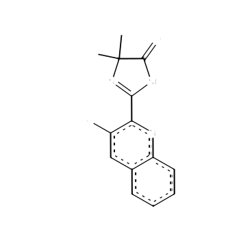 CCOC(=O)c1cc2ccccc2nc1C1=NC(C)(C(C)C)C(=O)N1